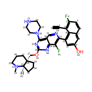 C#Cc1c(F)ccc2cc(O)cc(-c3ncc4c(N5CCNCC5)nc(OC[C@]56CCC[C@H]5N(C)CCC6)nc4c3F)c12